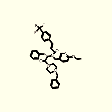 CCOc1ccc(CN(C(=O)C=Cc2ccc(C(F)(F)F)cc2)[C@@H](Cc2ccccc2)C(=O)N2CCN(Cc3ccccc3)CC2)cn1